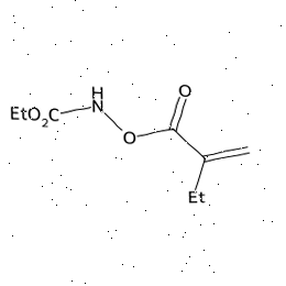 C=C(CC)C(=O)ONC(=O)OCC